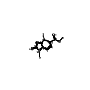 COC(=O)c1ccc2c([nH]c(=O)n2C)c1F